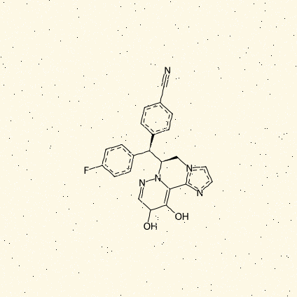 N#Cc1ccc([C@H](c2ccc(F)cc2)[C@H]2Cn3ccnc3C3=C(O)C(O)C=NN32)cc1